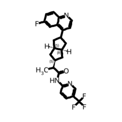 CC(C(=O)Nc1ccc(C(F)(F)F)cn1)[C@H]1C[C@H]2CC(c3ccnc4ccc(F)cc34)C[C@H]2C1